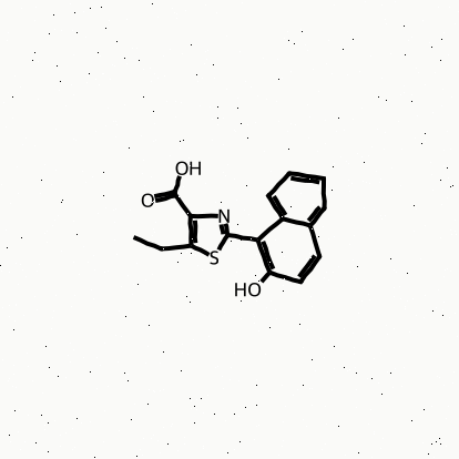 CCc1sc(-c2c(O)ccc3ccccc23)nc1C(=O)O